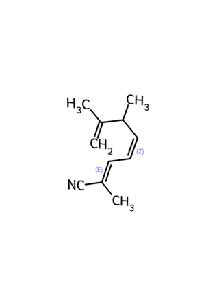 C=C(C)C(C)/C=C\C=C(/C)C#N